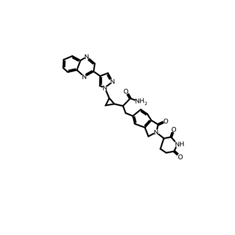 NC(=O)C(Cc1ccc2c(c1)CN(C1CCC(=O)NC1=O)C2=O)C1CC1n1cc(-c2cnc3ccccc3n2)cn1